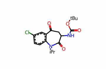 CC(C)N1C(=O)C(NC(=O)OC(C)(C)C)CC(=O)c2cc(Cl)ccc21